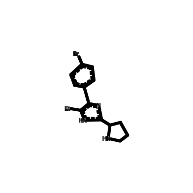 CCc1[nH]c(C2CCCN2)nc1-c1ccc(Br)cc1